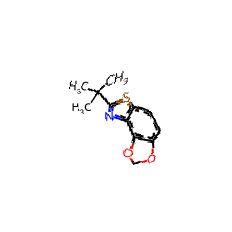 CC(C)(C)c1nc2c3c(ccc2s1)OCO3